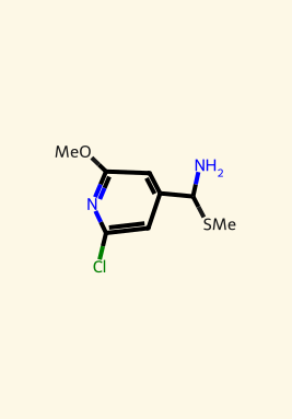 COc1cc(C(N)SC)cc(Cl)n1